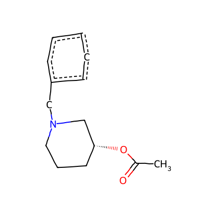 CC(=O)O[C@@H]1CCCN(Cc2ccccc2)C1